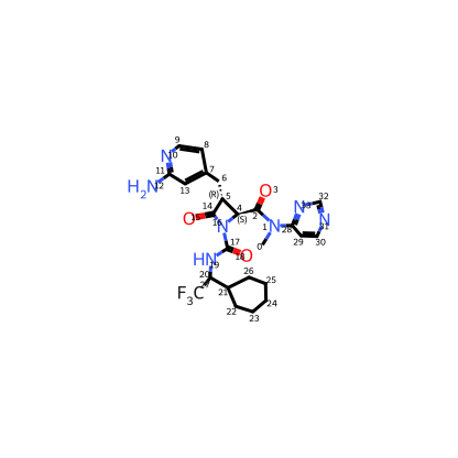 CN(C(=O)[C@@H]1[C@@H](Cc2ccnc(N)c2)C(=O)N1C(=O)NC(C1CCCCC1)C(F)(F)F)c1ccncn1